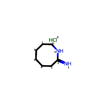 Cl.N=C1CCCCCCN1